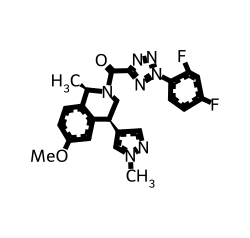 COc1ccc2c(c1)[C@H](c1cnn(C)c1)CN(C(=O)c1nnn(-c3ccc(F)cc3F)n1)[C@@H]2C